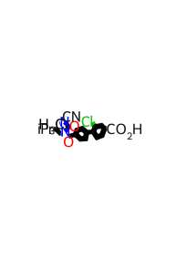 CC(C)CCN(C(=O)c1ccc(-c2ccc(C(=O)O)cc2Cl)cc1)C(=O)N(C)C#N